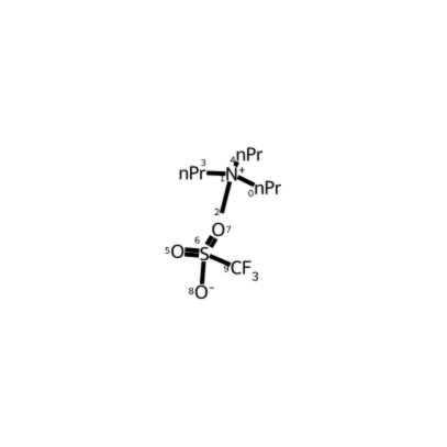 CCC[N+](C)(CCC)CCC.O=S(=O)([O-])C(F)(F)F